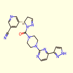 N#Cc1cncc([C@@H]2CC=NN2C(=O)N2CCN(c3nccc(-c4cc[nH]n4)n3)CC2)c1